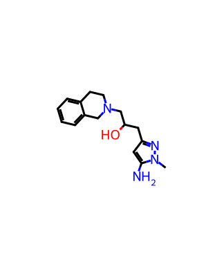 Cn1nc(CC(O)CN2CCc3ccccc3C2)cc1N